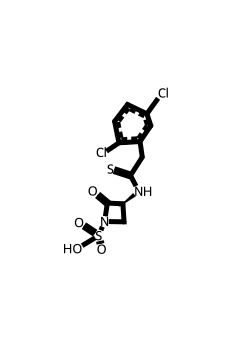 O=C1[C@@H](NC(=S)Cc2cc(Cl)ccc2Cl)CN1S(=O)(=O)O